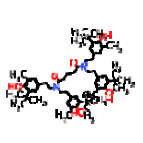 Cc1cc(CCN(CCc2cc(C)c(O)c(C(C)(C)C)c2)C(=O)CCCC(=O)N(CCc2cc(C)c(O)c(C(C)(C)C)c2)CCc2cc(C)c(O)c(C(C)(C)C)c2)cc(C(C)(C)C)c1O